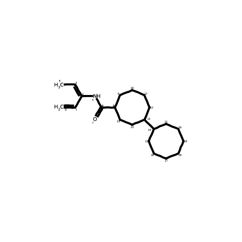 C=C/C(=C\C)NC(=O)C1CCCCC(C2CCCCCCC2)CC1